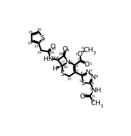 COC(=O)C1=C(c2nnc(NC(C)=O)s2)CS[C@@H]2C(NC(=O)Cc3cccs3)C(=O)N12